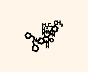 Cc1ccc2nc(-c3c(N)c4cc(N(CC5CCCCC5)CC5CCCCC5)ccc4[nH]c3=O)[nH]c2c1C